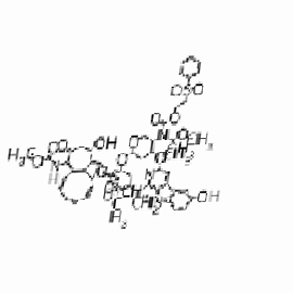 C=C(c1nccc2c1[nH]c1ccc(O)cc12)C1CC(OC2CC(OC)C(N(C(=O)OCCS(=O)(=O)c3ccccc3)C(C)OC)CO2)C(O[C@H]2C#C/C=C\C#CC3=C(NC(=O)OC)C(=O)C[C@H](O)/C(=C/CSC(C)=O)C32)OC1C